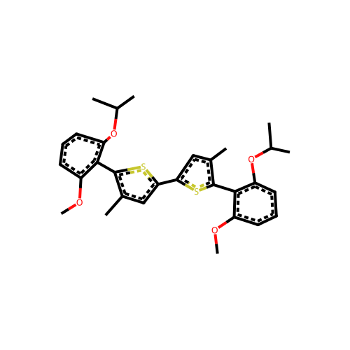 COc1cccc(OC(C)C)c1-c1sc(-c2cc(C)c(-c3c(OC)cccc3OC(C)C)s2)cc1C